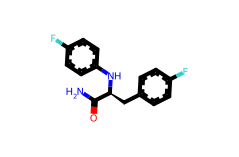 NC(=O)[C@H](Cc1ccc(F)cc1)Nc1ccc(F)cc1